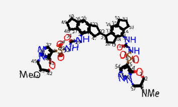 CNC1COc2c(S(=O)(=O)NC(=O)Nc3c4c(cc5c3CCC5C3Cc5cc6c(c(NC(=O)NS(=O)(=O)c7cnn8c7OCC(OC)C8)c5C3)CCC6)CCC4)cnn2C1